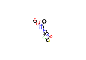 O=C(NC(CCN1CC2CN(C(=O)c3sccc3Cl)C[C@@H]2C1)c1ccccc1)OC1CCOC1